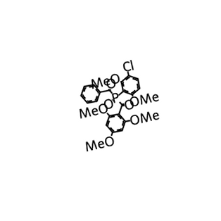 COc1cc(OC)c(C(=O)P(=O)(C(=O)c2ccccc2)c2c(OC)ccc(Cl)c2OC)c(OC)c1